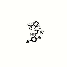 O=C(CNc1cc(Br)ccc1Br)Sc1ncccc1C(=O)[O-].[K+]